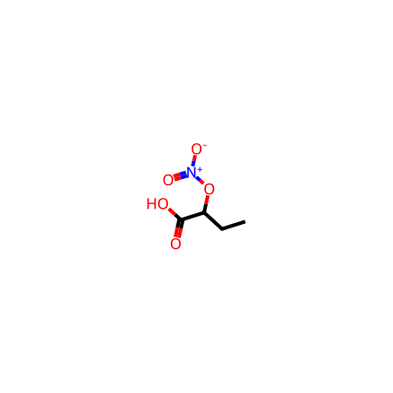 CCC(O[N+](=O)[O-])C(=O)O